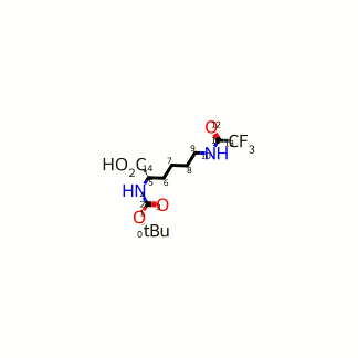 CC(C)(C)OC(=O)N[C@@H](CCCCNC(=O)C(F)(F)F)C(=O)O